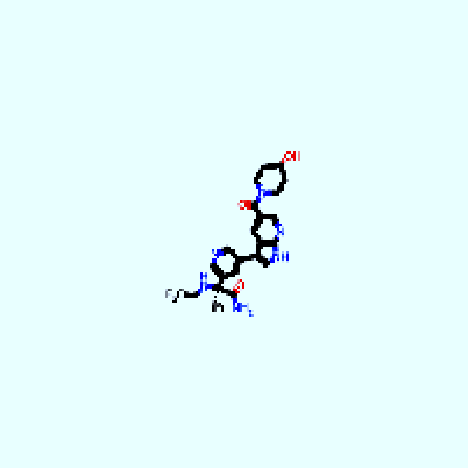 CC(C)[C@@](NCC(F)(F)F)(C(N)=O)c1cncc(-c2c[nH]c3ncc(C(=O)N4CCC(O)CC4)cc23)c1